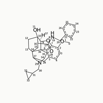 COc1ccc2c3c1OC1C4(O)CCC5(C[C@@H]4C(=O)NCc4ccccc4)C(C2)N(CC2CC2)CCC315